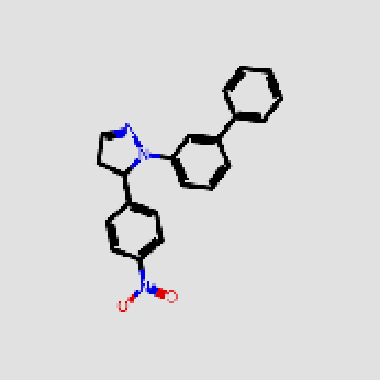 O=[N+]([O-])c1ccc(C2CC=NN2c2cccc(-c3ccccc3)c2)cc1